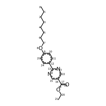 CCCCCCCCOc1ccc(-c2ncc(C(=O)OCC)cn2)cc1